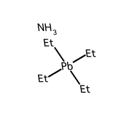 C[CH2][Pb]([CH2]C)([CH2]C)[CH2]C.N